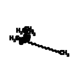 CCCCCCCCCCCCCCCCCCCCC(COC(=O)NCC)OP(=O)([O-])OCC[N+](C)(C)C